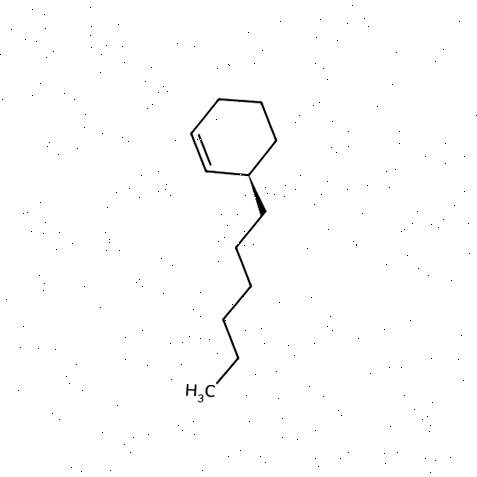 CCCCCC[C@H]1C=CCCC1